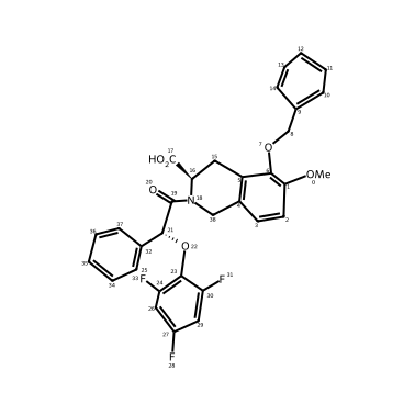 COc1ccc2c(c1OCc1ccccc1)C[C@H](C(=O)O)N(C(=O)[C@H](Oc1c(F)cc(F)cc1F)c1ccccc1)C2